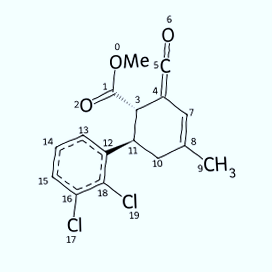 COC(=O)[C@@H]1C(=C=O)C=C(C)C[C@H]1c1cccc(Cl)c1Cl